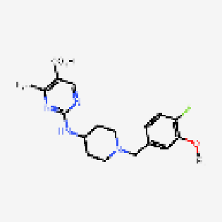 CCOc1cc(CN2CCC(Nc3ncc(C(=O)O)c(C(F)(F)F)n3)CC2)ccc1F